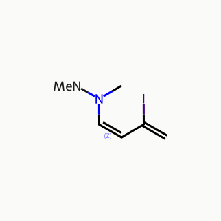 C=C(I)/C=C\N(C)NC